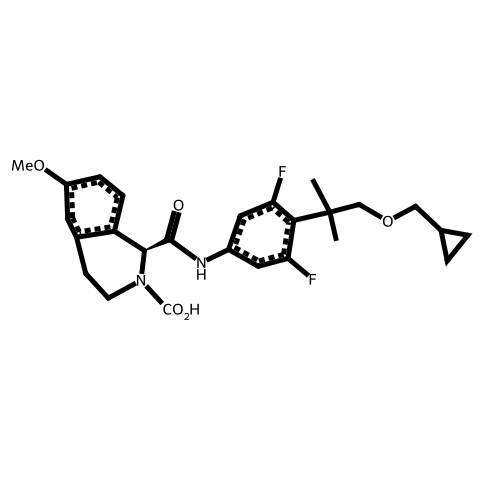 COc1ccc2c(c1)CCN(C(=O)O)[C@@H]2C(=O)Nc1cc(F)c(C(C)(C)COCC2CC2)c(F)c1